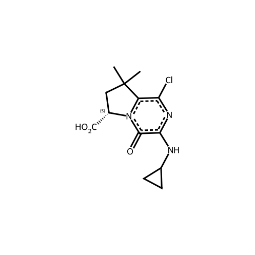 CC1(C)C[C@@H](C(=O)O)n2c1c(Cl)nc(NC1CC1)c2=O